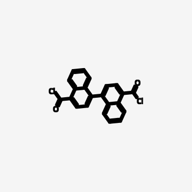 O=C(Cl)c1ccc(-c2ccc(C(=O)Cl)c3ccccc23)c2ccccc12